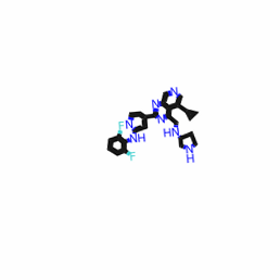 Fc1cccc(F)c1Nc1cc(-c2nc(CNC3CCNC3)c3c(C4CC4)cncc3n2)ccn1